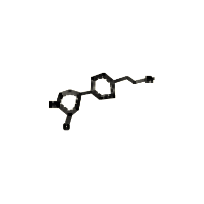 CC(C)CCc1ccc(-c2cc[nH]c(=O)c2)cc1